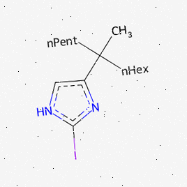 CCCCCCC(C)(CCCCC)c1c[nH]c(I)n1